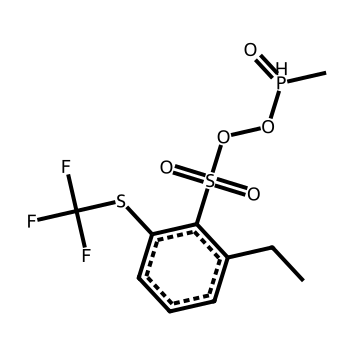 CCc1cccc(SC(F)(F)F)c1S(=O)(=O)OO[PH](C)=O